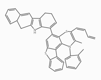 C=C/C=C\C1=C(C)N(c2ccccc2C)c2c(c(C3=CCCc4c3[nH]c3c4C=C4C=CC=CC4C3)cc3sc4ccccc4c23)S1